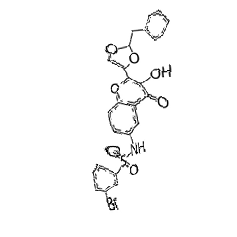 O=c1c(O)c(C2=COC(Cc3ccccc3)O2)oc2ccc(NS(=O)(=O)c3cccc(Br)c3)cc12